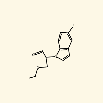 CCOCC(C=O)n1ccc2cc(F)ccc21